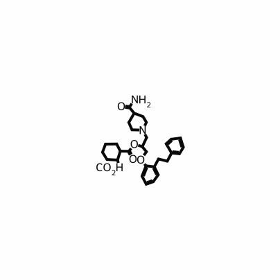 NC(=O)C1CCN(CC(COc2ccccc2CCc2ccccc2)OC(=O)C2CCCCC2C(=O)O)CC1